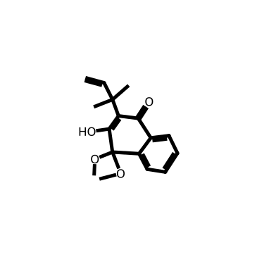 C=CC(C)(C)C1=C(O)C(OC)(OC)c2ccccc2C1=O